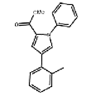 COC(=O)c1cc(-c2ccccc2C)cn1-c1ccccc1